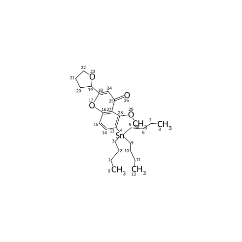 CCC[CH2][Sn]([CH2]CCC)([CH2]CCC)[c]1ccc2oc(C3CCCO3)cc(=O)c2c1OC